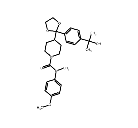 COc1ccc(N(C)C(=O)N2CCC(C3(c4ccc(C(C)(C)O)cc4)OCCO3)CC2)cc1